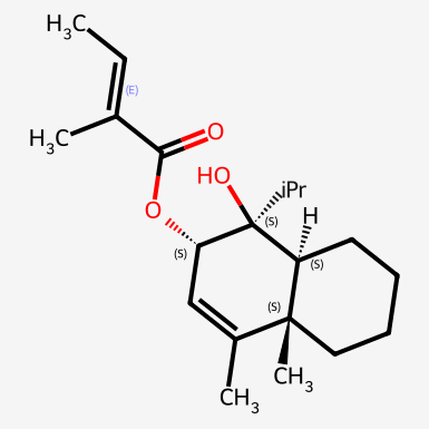 C/C=C(\C)C(=O)O[C@H]1C=C(C)[C@@]2(C)CCCC[C@@H]2[C@@]1(O)C(C)C